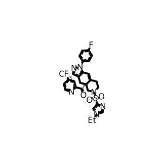 CCn1cnc(S(=O)(=O)N2CCC3=Cc4c(cnn4-c4ccc(F)cc4)C[C@]3(C(=O)c3cc(C(F)(F)F)ccn3)C2)c1